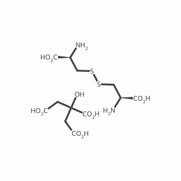 N[C@@H](CSSC[C@H](N)C(=O)O)C(=O)O.O=C(O)CC(O)(CC(=O)O)C(=O)O